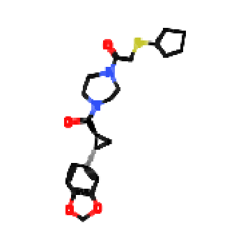 O=C(CSC1CCCC1)N1CCN(C(=O)[C@H]2C[C@@H]2c2ccc3c(c2)OCO3)CC1